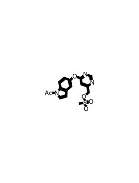 CC(=O)n1ccc2cc(Oc3cc(COS(C)(=O)=O)ncn3)ccc21